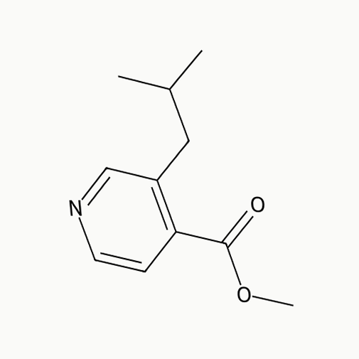 COC(=O)c1ccncc1CC(C)C